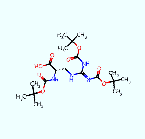 CC(C)(C)OC(=O)/N=C(/NC[C@H](NC(=O)OC(C)(C)C)C(=O)O)NC(=O)OC(C)(C)C